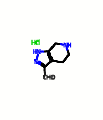 Cl.O=Cc1n[nH]c2c1CCNC2